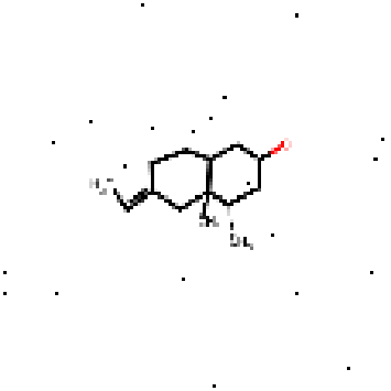 CC=C1CCC2CC(O)C[C@H](C)[C@]2(C)C1